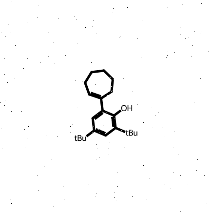 CC(C)(C)c1cc(C2=CCCCCC2)c(O)c(C(C)(C)C)c1